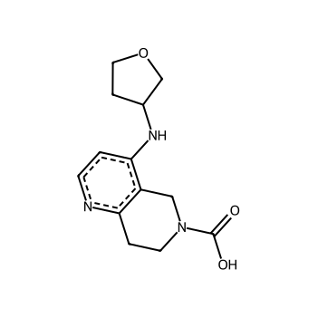 O=C(O)N1CCc2nccc(NC3CCOC3)c2C1